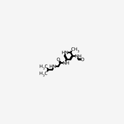 CC(C)CNCC(=O)NC1=CNC(C)C(NC=O)=C1